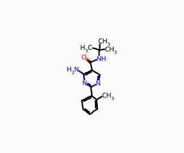 Cc1ccccc1-c1ncc(C(=O)NC(C)(C)C)c(N)n1